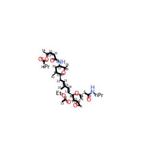 CCCNC(=O)C[C@@H]1C[C@@]2(CO2)[C@H](OC(C)OCC)[C@@H](/C=C/C(C)=C/C[C@@H]2O[C@H](C)[C@H](NC(=O)/C=C\[C@H](C)OC(=O)C(C)C)C[C@@H]2C)O1